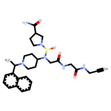 C#CCNC(=O)CNC(=O)CN(C1CCN(C(C)c2cccc3ccccc23)CC1)[S+]([O-])N1CCC(C(N)=O)C1